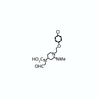 CNC1CC(N(CC=O)C(=O)O)CCN1CCOc1ccc(Cl)cc1